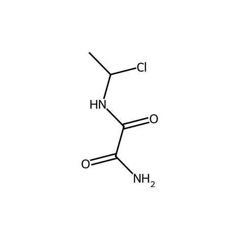 CC(Cl)NC(=O)C(N)=O